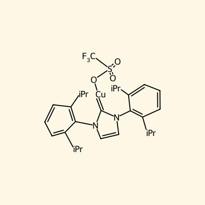 CC(C)c1cccc(C(C)C)c1-n1ccn(-c2c(C(C)C)cccc2C(C)C)[c]1=[Cu][O]S(=O)(=O)C(F)(F)F